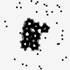 C1=NCC(c2cc[nH]c2-c2ccc3c(c2)C2(c4ccccc4-3)c3ccccc3C3CC4Oc5ccccc5C4=CC32)=C1